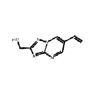 C=Cc1cnc2nc(CO)nn2c1